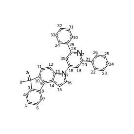 CC1(C)c2ccccc2-c2c1ccc1c2ccn1-c1cc(-c2ccccc2)nc(-c2ccccc2)c1